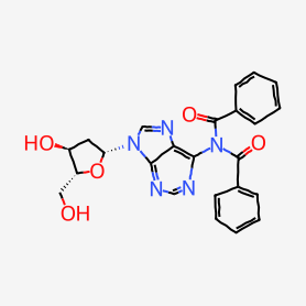 O=C(c1ccccc1)N(C(=O)c1ccccc1)c1ncnc2c1ncn2[C@H]1C[C@H](O)[C@@H](CO)O1